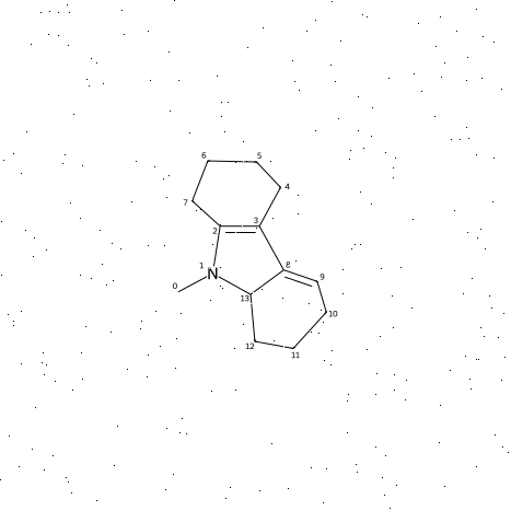 CN1C2=C(CCCC2)C2=CCCCC21